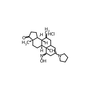 C=C1CC2CC(N3CCCC3)CC(=NO)[C@]2(C)[C@@H]2CC[C@]3(C)C(=O)CC[C@H]3[C@H]12.Cl